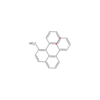 O=C(O)c1ccc2cccc(-c3ccccc3)c2c1-c1ccccc1